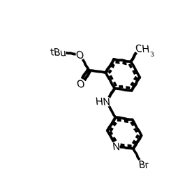 Cc1ccc(Nc2ccc(Br)nc2)c(C(=O)OC(C)(C)C)c1